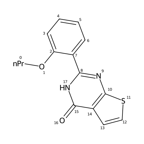 CCCOc1ccccc1-c1nc2sccc2c(=O)[nH]1